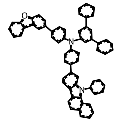 c1ccc(-c2cc(-c3ccccc3)cc(N(c3ccc(-c4ccc5oc6ccccc6c5c4)cc3)c3ccc(-c4ccc5c6ccc7ccccc7c6n(-c6ccccc6)c5c4)cc3)c2)cc1